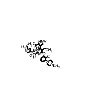 CCc1c(Oc2cccc(N3CCN(C)CC3)c2Cl)nc(NS(=O)(=O)c2cnn(C)c2)nc1-c1c[nH]nc1C(C)C